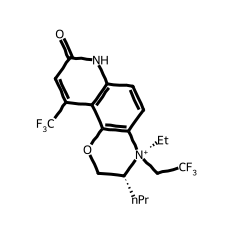 CCC[C@@H]1COc2c(ccc3[nH]c(=O)cc(C(F)(F)F)c23)[N@@+]1(CC)CC(F)(F)F